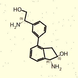 N[C@H](CO)c1cccc(-c2cccc3c2C[C@H](O)[C@@H]3N)c1